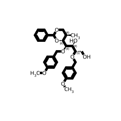 COc1ccc(CO[C@H]([C@H](O)[C@H](CO)OCc2ccc(OC)cc2)[C@@H]2OC(c3ccccc3)OC[C@H]2C)cc1